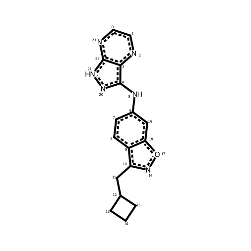 c1cnc2c(Nc3ccc4c(CC5CCC5)noc4c3)n[nH]c2n1